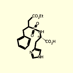 CCOC(=O)CC(Cc1ccccc1)S(=O)(=O)N[C@@H](Cc1c[nH]cn1)C(=O)O